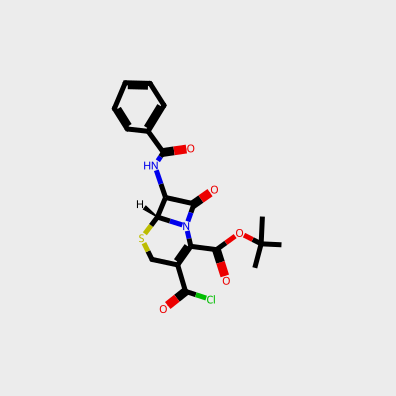 CC(C)(C)OC(=O)C1=C(C(=O)Cl)CS[C@@H]2C(NC(=O)c3ccccc3)C(=O)N12